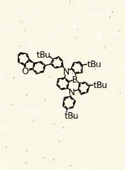 CC(C)(C)c1ccc(N2c3ccc(C(C)(C)C)cc3B3c4cc(C(C)(C)C)ccc4N(c4ccc(C(C)(C)C)c(-c5ccc6oc7ccccc7c6c5)c4)c4cccc2c43)cc1